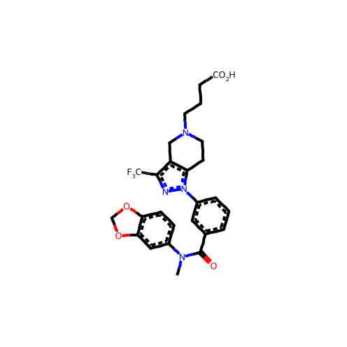 CN(C(=O)c1cccc(-n2nc(C(F)(F)F)c3c2CCN(CCCC(=O)O)C3)c1)c1ccc2c(c1)OCO2